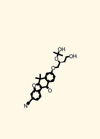 CC(C)(O)O[C@@H](CCO)COc1ccc2c(c1)C(C)(C)c1oc3cc(C#N)ccc3c1C2=O